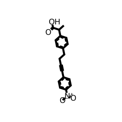 CC(C(=O)O)c1ccc(CCC#Cc2ccc([N+](=O)[O-])cc2)cc1